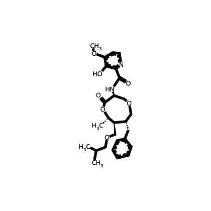 COc1ccnc(C(=O)N[C@H]2COC[C@H](Cc3ccccc3)[C@@H](COCC(C)C)[C@H](C)OC2=O)c1O